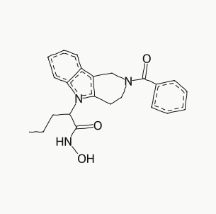 CCCC(C(=O)NO)n1c2c(c3ccccc31)CN(C(=O)c1ccccc1)CC2